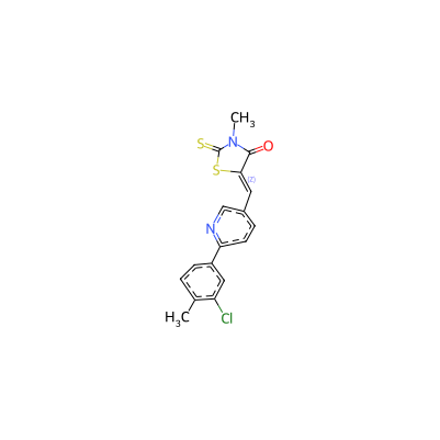 Cc1ccc(-c2ccc(/C=C3\SC(=S)N(C)C3=O)cn2)cc1Cl